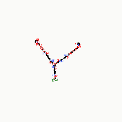 CC(COCCC(=O)NCCCCCCCC(=O)NCCOCCOCCOCCC(=O)ON1C(=O)CCC1=O)(COCCC(=O)NCCCCCCCC(=O)NCCOCCOCCOCCC(=O)ON1C(=O)CCC1=O)NC(=O)CCCCCCNC(=O)OCC(Cl)(Cl)Cl